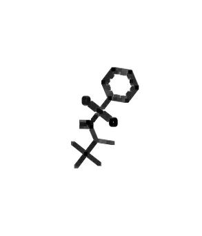 CC(NS(=O)(=O)c1ccccc1)C(C)(C)C